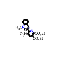 CCOC(=O)c1cc([N+](=O)[O-])c(/C=C/c2ccccc2N(C)C)nc1C(=O)OCC